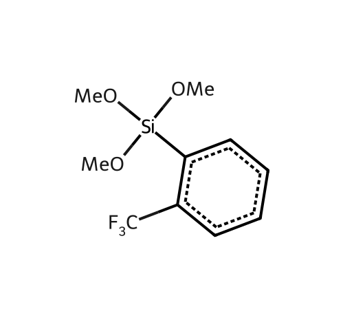 CO[Si](OC)(OC)c1ccccc1C(F)(F)F